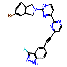 Fc1n[nH]c2ccc(C#Cc3ccnc(-c4ccnc(N5Cc6ccc(Br)cc6C5)n4)n3)cc12